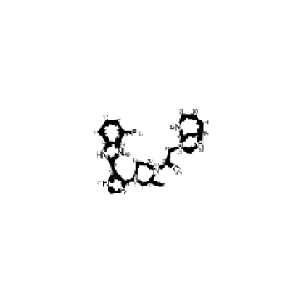 CC1CN(c2scnc2-c2nc3c(F)cccc3[nH]2)CCN1C(=O)Cn1cnc2cccnc21